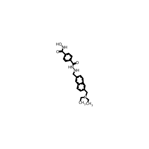 CCN(CC)Cc1ccc2cc(CNNC(=O)c3ccc(C(=O)NO)cc3)ccc2c1